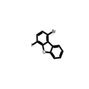 Brc1ccc(I)c2oc3ccccc3c12